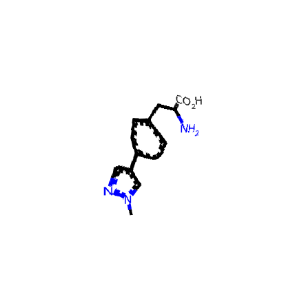 Cn1cc(-c2ccc(CC(N)C(=O)O)cc2)cn1